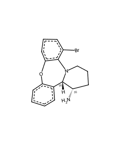 N[C@H]1CCCN2c3c(Br)cccc3Oc3ccccc3[C@@H]12